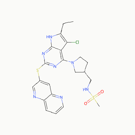 CCc1[nH]c2nc(Sc3cnc4cccnc4c3)nc(N3CCC(CNS(C)(=O)=O)C3)c2c1Cl